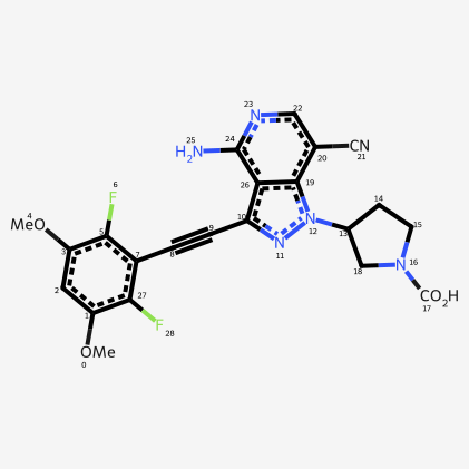 COc1cc(OC)c(F)c(C#Cc2nn(C3CCN(C(=O)O)C3)c3c(C#N)cnc(N)c23)c1F